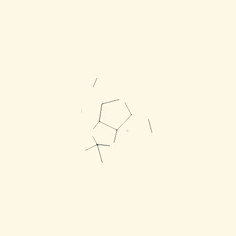 CCO[C@@H]1O[C@H](CF)[C@H]2OC(C)(C)O[C@@H]12